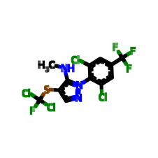 CNc1c(SC(F)(Cl)Cl)cnn1-c1c(Cl)cc(C(F)(F)F)cc1Cl